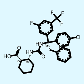 O=C(N[C@@H]1CCCC[C@@H]1C(=O)O)N[C@@](Cc1ccccc1)(c1cc(F)cc(C(F)(F)F)c1)c1ccc(Cl)cn1